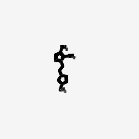 CN1C=CN(CCn2ncc(N)c2N)C1